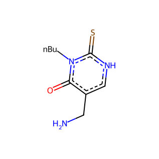 CCCCn1c(=S)[nH]cc(CN)c1=O